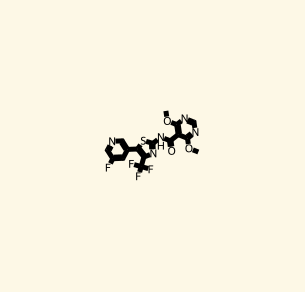 COc1ncnc(OC)c1C(=O)Nc1nc(C(F)(F)F)c(-c2cncc(F)c2)s1